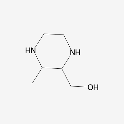 CC1NCCNC1CO